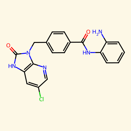 Nc1ccccc1NC(=O)c1ccc(Cn2c(=O)[nH]c3cc(Cl)cnc32)cc1